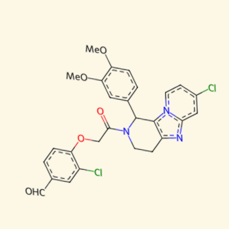 COc1ccc(C2c3c(nc4cc(Cl)ccn34)CCN2C(=O)COc2ccc(C=O)cc2Cl)cc1OC